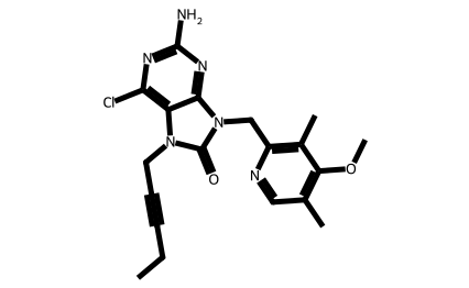 CCC#CCn1c(=O)n(Cc2ncc(C)c(OC)c2C)c2nc(N)nc(Cl)c21